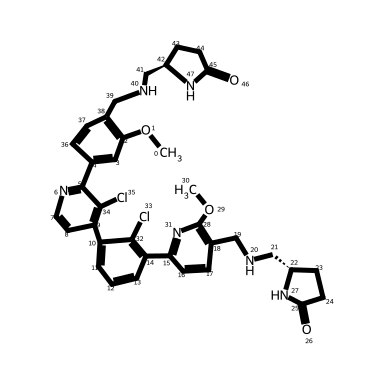 COc1cc(-c2nccc(-c3cccc(-c4ccc(CNC[C@@H]5CCC(=O)N5)c(OC)n4)c3Cl)c2Cl)ccc1CNC[C@H]1CCC(=O)N1